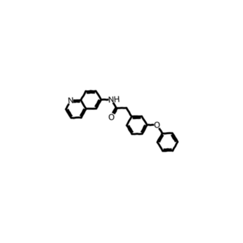 O=C(Cc1cccc(Oc2ccccc2)c1)Nc1ccc2ncccc2c1